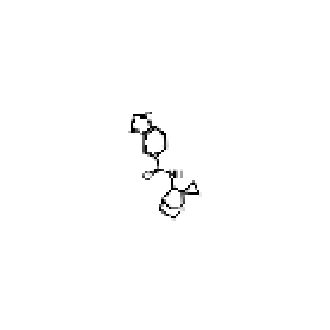 O=C(NC1C2CCN(C2)C12CC2)c1ccc2occc2c1